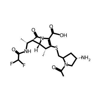 CC(=O)N1C[C@@H](N)CC1CSC1=C(C(=O)O)N2C(=O)[C@H]([C@@H](C)NC(=O)C(F)F)[C@H]2[C@H]1C